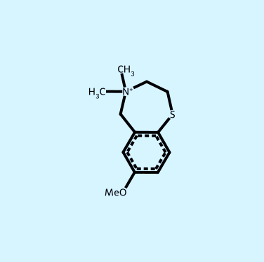 COc1ccc2c(c1)C[N+](C)(C)CCS2